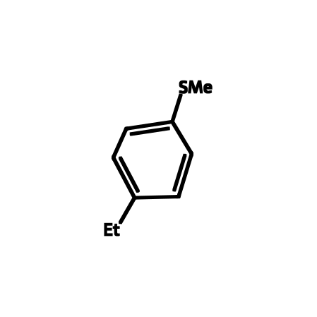 [CH2]Sc1ccc(CC)cc1